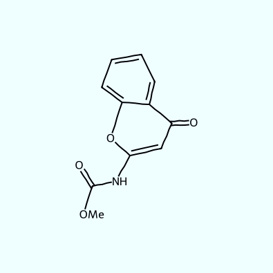 COC(=O)Nc1cc(=O)c2ccccc2o1